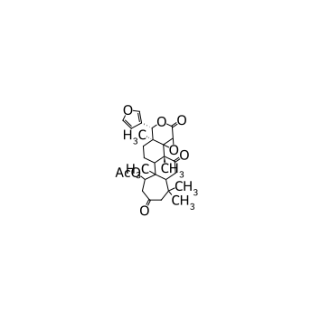 CC(=O)OC1CC(=O)CC(C)(C)C2CC(=O)[C@]3(C)C(CC[C@@]4(C)[C@H](c5ccoc5)OC(=O)C5OC543)C12C